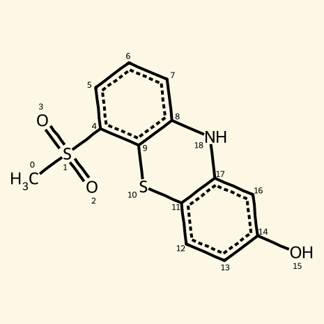 CS(=O)(=O)c1cccc2c1Sc1ccc(O)cc1N2